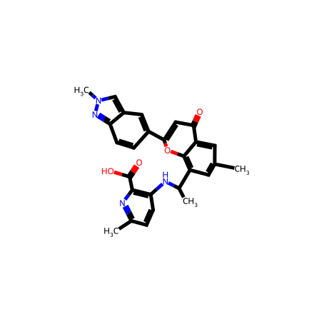 Cc1cc(C(C)Nc2ccc(C)nc2C(=O)O)c2oc(-c3ccc4nn(C)cc4c3)cc(=O)c2c1